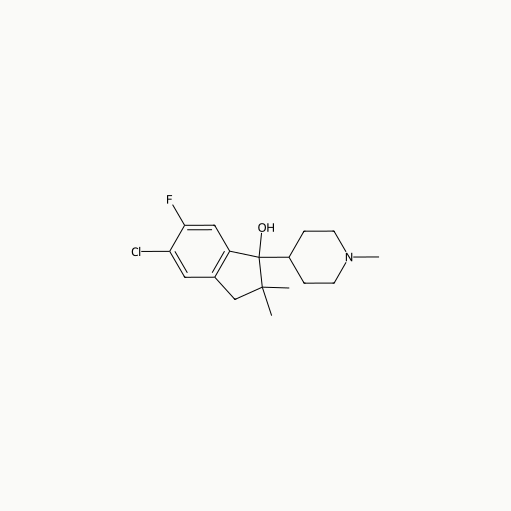 CN1CCC(C2(O)c3cc(F)c(Cl)cc3CC2(C)C)CC1